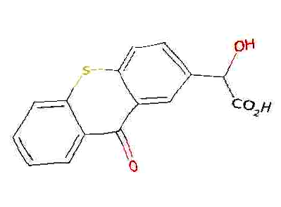 O=C(O)C(O)c1ccc2sc3ccccc3c(=O)c2c1